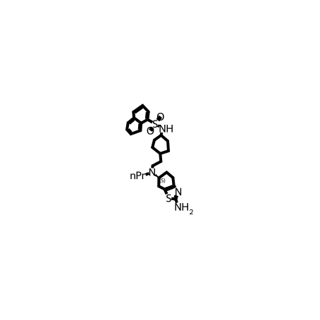 CCCN(CCC1CCC(NS(=O)(=O)c2cccc3ccccc23)CC1)[C@H]1CCc2nc(N)sc2C1